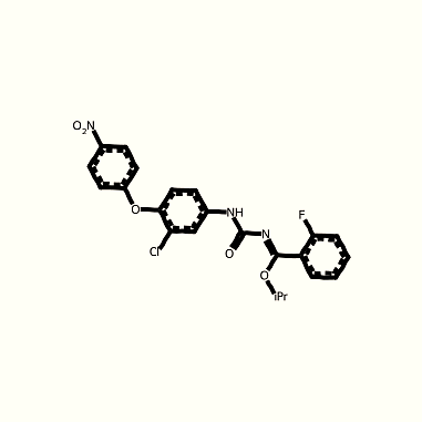 CC(C)OC(=NC(=O)Nc1ccc(Oc2ccc([N+](=O)[O-])cc2)c(Cl)c1)c1ccccc1F